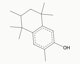 Cc1cc2c(cc1O)C(C)(C)CC(C)C2(C)C